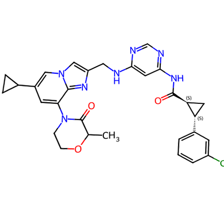 CC1OCCN(c2cc(C3CC3)cn3cc(CNc4cc(NC(=O)[C@H]5C[C@@H]5c5cccc(Cl)c5)ncn4)nc23)C1=O